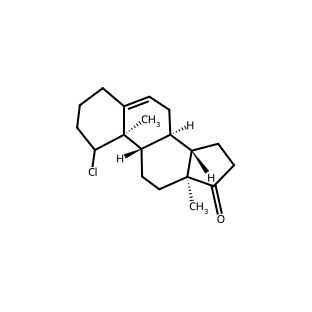 C[C@]12CC[C@H]3[C@@H](CC=C4CCCC(Cl)[C@@]43C)[C@@H]1CCC2=O